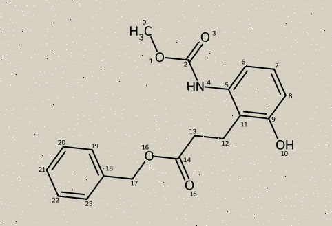 COC(=O)Nc1cccc(O)c1CCC(=O)OCc1ccccc1